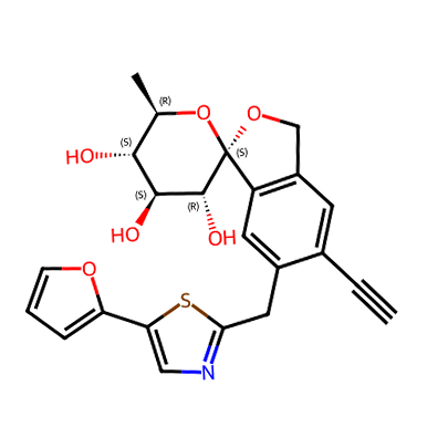 C#Cc1cc2c(cc1Cc1ncc(-c3ccco3)s1)[C@]1(OC2)O[C@H](C)[C@@H](O)[C@H](O)[C@H]1O